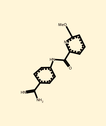 COc1cccc(C(=O)Nc2ccc(C(=N)N)cc2)n1